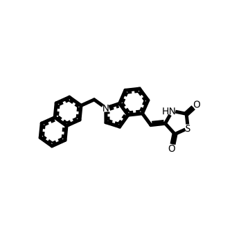 O=C1NC(=Cc2cccc3c2ccn3Cc2ccc3ccccc3c2)C(=O)S1